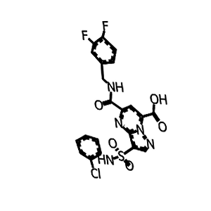 O=C(NCc1ccc(F)c(F)c1)c1cc(C(=O)O)n2ncc(S(=O)(=O)Nc3ccccc3Cl)c2n1